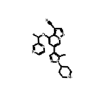 Cc1c(-c2cc(OC(C)c3cnccn3)c3c(C#N)cnn3c2)cnn1C1CCNCC1